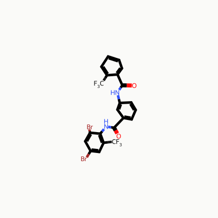 O=C(Nc1c(Br)cc(Br)cc1C(F)(F)F)c1cccc(NC(=O)c2ccccc2C(F)(F)F)c1